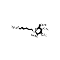 COCCCCCCO[C@@H]1OC(COC(C)=O)[C@H](OC(C)=O)C(OC(C)=O)C1NC(C)=O